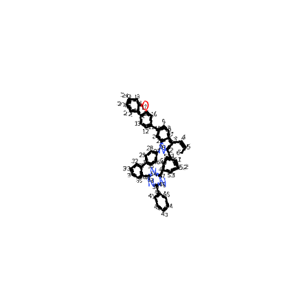 C=Cc1c(/C=C\C)c2ccc(-c3ccc4c(c3)oc3ccccc34)cc2n1-c1ccc(-c2ccccc2-c2nc(-c3ccccc3)nc(-c3ccccc3)n2)cc1